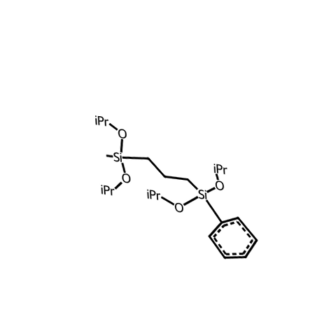 CC(C)O[Si](C)(CCC[Si](OC(C)C)(OC(C)C)c1ccccc1)OC(C)C